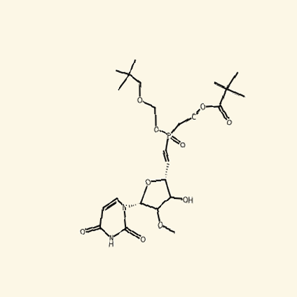 COC1C(O)[C@@H](/C=C/P(=O)(CCOC(=O)C(C)(C)C)OCOCC(C)(C)C)O[C@H]1n1ccc(=O)[nH]c1=O